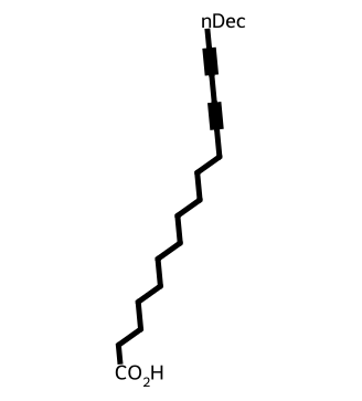 CCCCCCCCCCC#CC#CCCCCCCCCCCC(=O)O